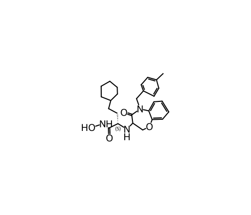 Cc1ccc(CN2C(=O)C(N[C@@H](CCC3CCCCC3)C(=O)NO)COc3ccccc32)cc1